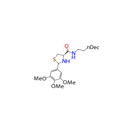 CCCCCCCCCCCCNC(=O)[C@@H]1CSC(c2cc(OC)c(OC)c(OC)c2)N1